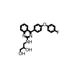 OCC(O)CNc1nc(-c2ccc(Oc3ccc(F)cc3)cc2)c2ccccc2n1